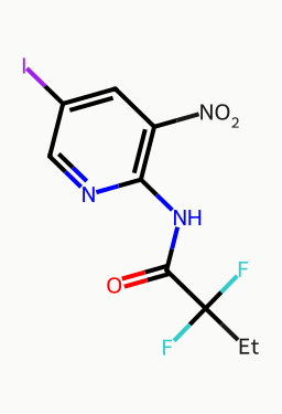 CCC(F)(F)C(=O)Nc1ncc(I)cc1[N+](=O)[O-]